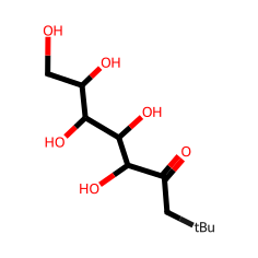 CC(C)(C)CC(=O)C(O)C(O)C(O)C(O)CO